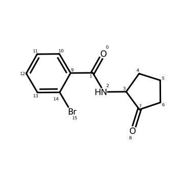 O=C(NC1CCCC1=O)c1ccccc1Br